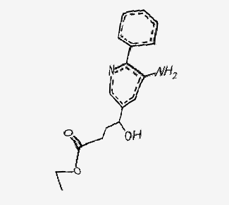 CCOC(=O)CCC(O)c1cnc(-c2ccccc2)c(N)c1